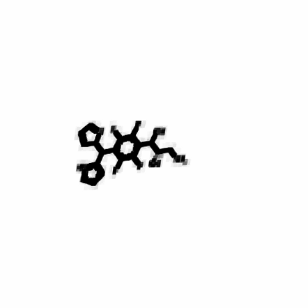 NC[C@H](O)C(O)c1c(F)c(F)c(C(c2ccc[nH]2)C2C=CC=N2)c(F)c1F